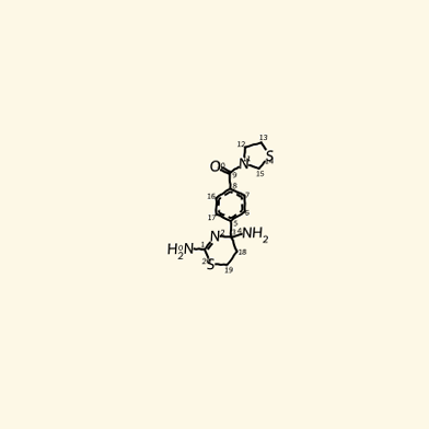 NC1=NC(N)(c2ccc(C(=O)N3CCSC3)cc2)CCS1